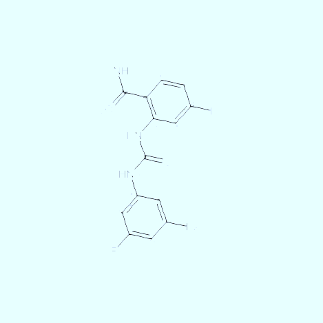 NC(=O)c1ccc(F)cc1NC(=O)Nc1cc(F)cc(F)c1